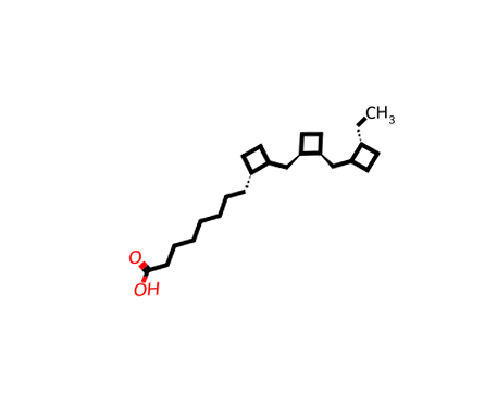 CC[C@@H]1CCC1C[C@@H]1CC[C@@H]1CC1CC[C@H]1CCCCCCCC(=O)O